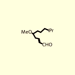 COC(CC=CC=O)CCCC(C)C